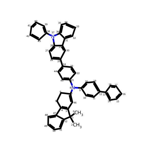 CC1(C)C2=C(CCC(N(c3ccc(-c4ccccc4)cc3)c3ccc(-c4ccc5c(c4)c4ccccc4n5-c4ccccc4)cc3)=C2)c2ccccc21